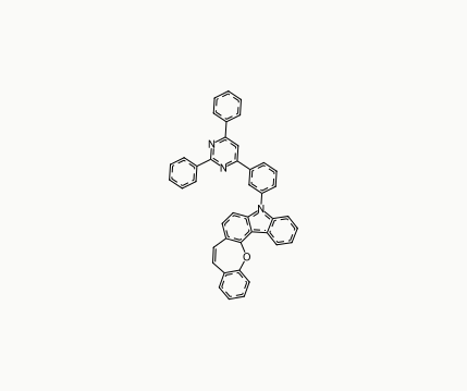 C1=Cc2ccc3c(c2Oc2ccccc21)c1ccccc1n3-c1cccc(-c2cc(-c3ccccc3)nc(-c3ccccc3)n2)c1